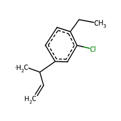 [CH2]C(C=C)c1ccc(CC)c(Cl)c1